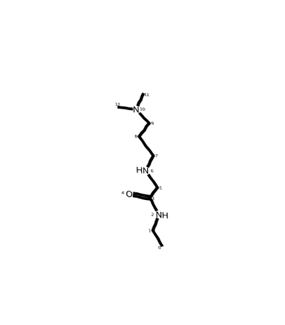 CCNC(=O)CNCCCN(C)C